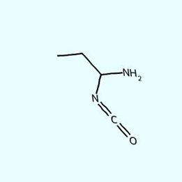 CCC(N)N=C=O